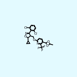 CC1OC(c2ccc(OCC3C(c4c(Cl)cccc4Cl)=NOC3C3CC3)nc2C(F)(F)F)O1